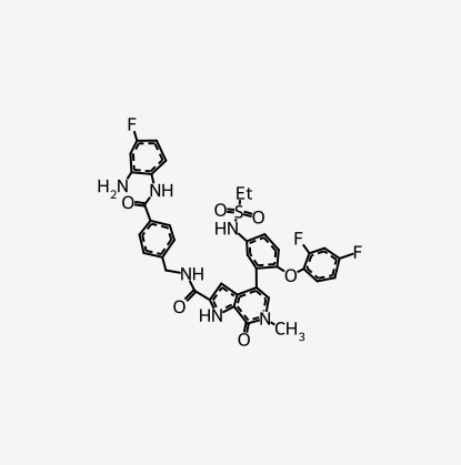 CCS(=O)(=O)Nc1ccc(Oc2ccc(F)cc2F)c(-c2cn(C)c(=O)c3[nH]c(C(=O)NCc4ccc(C(=O)Nc5ccc(F)cc5N)cc4)cc23)c1